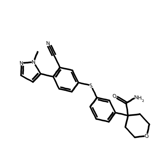 Cn1nccc1-c1ccc(Sc2cccc(C3(C(N)=O)CCOCC3)c2)cc1C#N